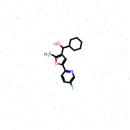 Cc1oc(-c2ccc(F)cn2)cc1C(O)C1CCCCC1